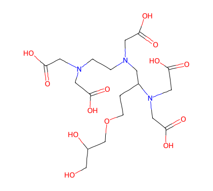 O=C(O)CN(CCN(CC(=O)O)CC(CCOCC(O)CO)N(CC(=O)O)CC(=O)O)CC(=O)O